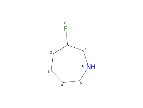 FC1C[CH]CCNC1